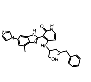 Cc1cc(-n2ccnc2)cc2[nH]c(-c3c(NC(CO)CSCc4ccccc4)cc[nH]c3=O)nc12